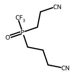 N#CCCCP(=O)(CCC#N)C(F)(F)F